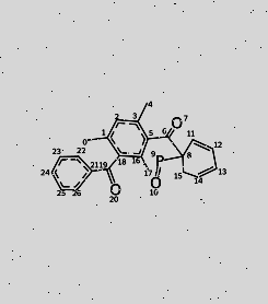 Cc1cc(C)c(C(=O)C2(P=O)C=CC=CC2)c(C)c1C(=O)c1ccccc1